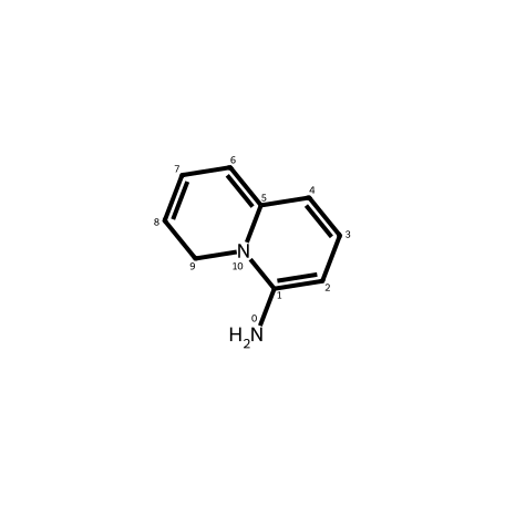 NC1=CC=CC2=CC=CCN12